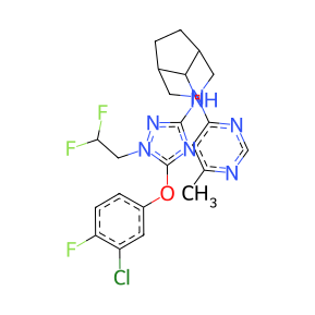 Cc1cc(N2CC3CCC(C2)C3Nc2nc(Oc3ccc(F)c(Cl)c3)n(CC(F)F)n2)ncn1